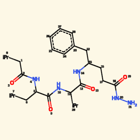 CC(C)CC(=O)NC(CC(C)C)C(=O)NC(C(=O)NC(CCC(=O)NN)Cc1ccccc1)C(C)C